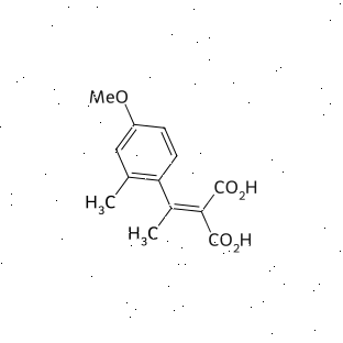 COc1ccc(C(C)=C(C(=O)O)C(=O)O)c(C)c1